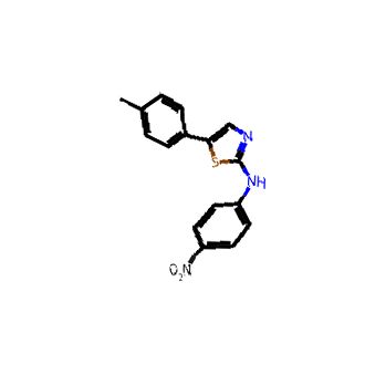 Cc1ccc(-c2cnc(Nc3ccc([N+](=O)[O-])cc3)s2)cc1